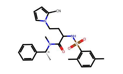 Cc1ccc(C)c(S(=O)(=O)NC(CCn2cccc2C#N)C(=O)N(C)[C@H](C)c2ccccc2)c1